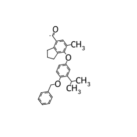 Cc1cc([C]=O)c2c(c1Oc1ccc(OCc3ccccc3)c(C(C)C)c1)CCC2